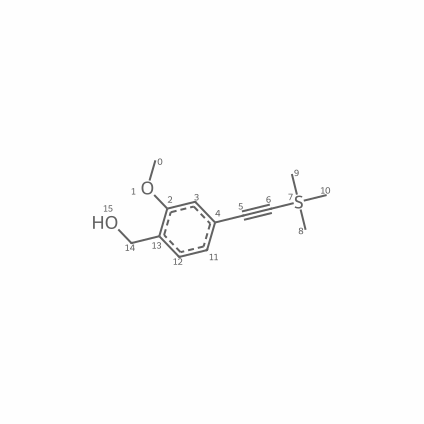 COc1cc(C#CS(C)(C)C)ccc1CO